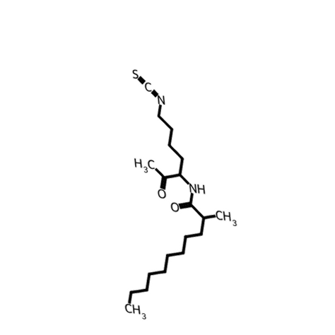 CCCCCCCCCC(C)C(=O)NC(CCCCN=C=S)C(C)=O